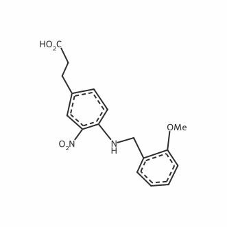 COc1ccccc1CNc1ccc(CCC(=O)O)cc1[N+](=O)[O-]